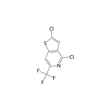 FC(F)(F)c1cc2sc(Cl)cc2c(Cl)n1